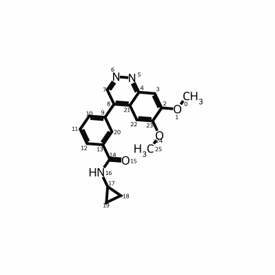 COc1cc2nncc(-c3cccc(C(=O)NC4CC4)c3)c2cc1OC